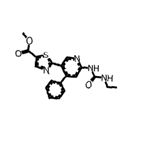 CCNC(=O)Nc1cc(-c2ccccc2)c(-c2ncc(C(=O)OC)s2)cn1